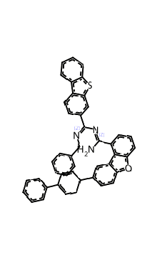 N/C(=N\C(=N/Cc1ccccc1)c1ccc2c(c1)sc1ccccc12)c1cccc2oc3ccc(C4C=CC(c5ccccc5)=CC4)cc3c12